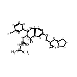 CC(COc1ccc2nc(-c3cccc(F)c3)n(CC(=O)NC(C)C)c(=O)c2c1)CN1CCCC1